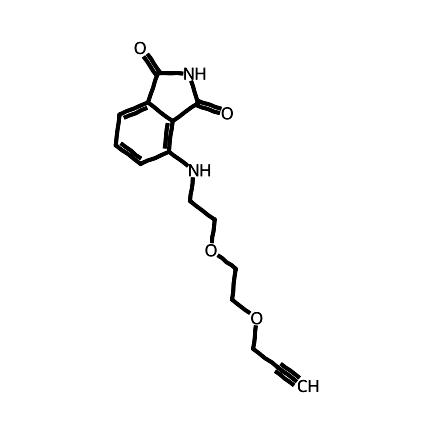 C#CCOCCOCCNc1cccc2c1C(=O)NC2=O